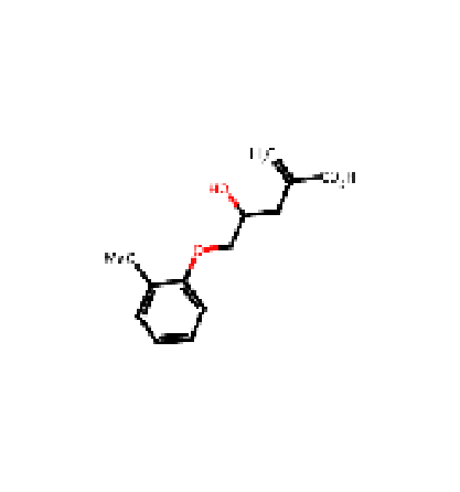 C=C(CC(O)COc1ccccc1OC)C(=O)O